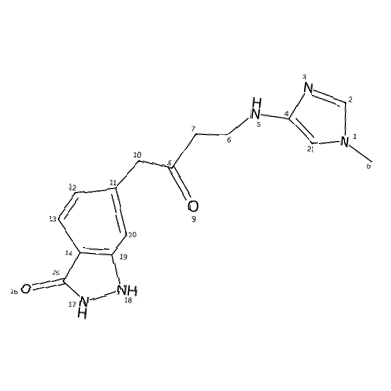 Cn1cnc(NCCC(=O)Cc2ccc3c(=O)[nH][nH]c3c2)c1